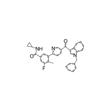 Cc1c(F)cc(C(=O)NC2CC2)cc1-c1ccc(C(=O)c2cn(Cc3ccccc3)c3ccccc23)cn1